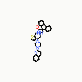 O=C(NCc1cccs1)C1(CCCCN2CCN(c3ccc4ccccc4n3)CC2)c2ccccc2-c2ccccc21